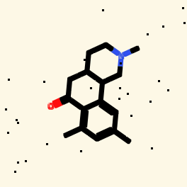 Cc1cc(C)c2c(c1)C1CN(C)CCC1CC2=O